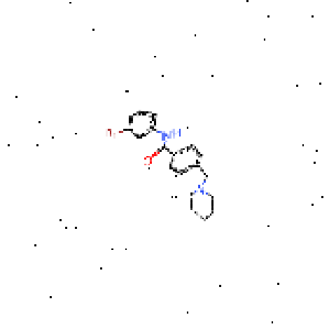 O=C(Nc1cccc(Br)c1)c1ccc(CN2CCCCC2)cc1